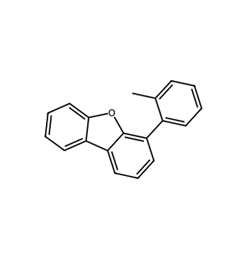 Cc1ccccc1-c1cccc2c1oc1ccccc12